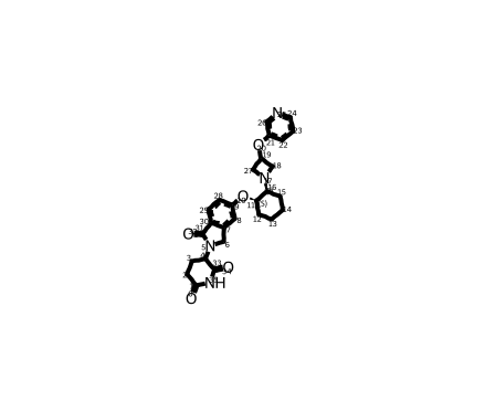 O=C1CCC(N2Cc3cc(O[C@H]4CCCC[C@@H]4N4CC(Oc5cccnc5)C4)ccc3C2=O)C(=O)N1